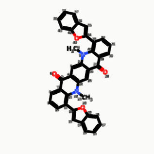 Cn1c2cc3c(=O)c4cccc(-c5cc6ccccc6o5)c4n(C)c3cc2c(=O)c2cccc(-c3cc4ccccc4o3)c21